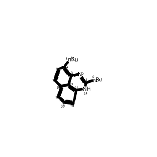 CCCCC1=Nc2c(CCCC)ccc3cccc(c23)N1